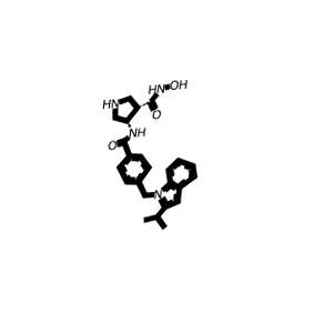 CC(C)c1cc2ccccc2n1Cc1ccc(C(=O)N[C@@H]2CNC[C@@H]2C(=O)NO)cc1